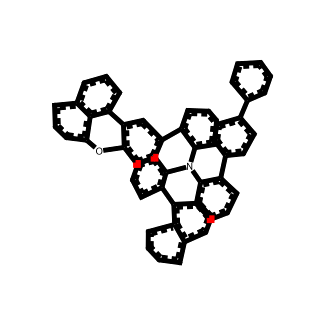 c1ccc(-c2ccc(-c3ccccc3N(c3ccccc3-c3ccc4c(c3)-c3cccc5cccc(c35)O4)c3ccccc3-c3cccc4ccccc34)cc2)cc1